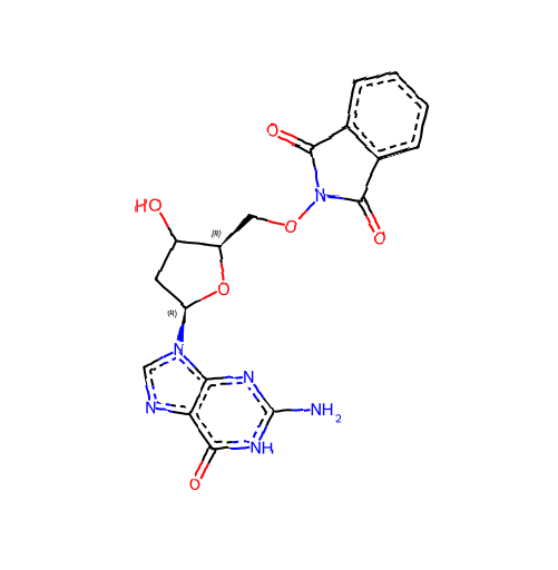 Nc1nc2c(ncn2[C@H]2CC(O)[C@@H](CON3C(=O)c4ccccc4C3=O)O2)c(=O)[nH]1